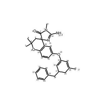 CN1C(=O)C2(CC(C)(C)Oc3ccc(OC4=CC(Cc5ccccc5)CC(F)=C4)cc32)N=C1N